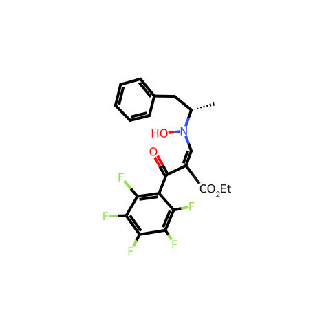 CCOC(=O)C(=CN(O)[C@@H](C)Cc1ccccc1)C(=O)c1c(F)c(F)c(F)c(F)c1F